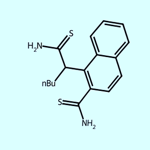 CCCCC(C(N)=S)c1c(C(N)=S)ccc2ccccc12